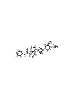 CC(C)Oc1ccc(-c2nnc(-c3cccc4c3CCC[C@H]4NCc3ccncc3)s2)cc1C#N